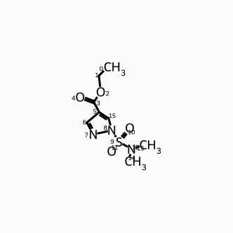 CCOC(=O)c1cnn(S(=O)(=O)N(C)C)c1